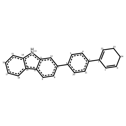 C1=CC(c2ccc(-c3ccc4c(c3)[nH]c3ccccc34)cc2)=CCC1